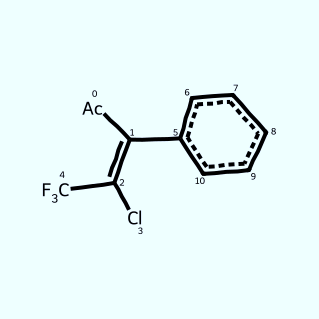 CC(=O)C(=C(Cl)C(F)(F)F)c1ccccc1